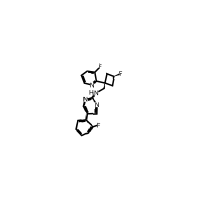 Fc1ccccc1-c1cnc(NC[C@]2(c3ncccc3F)C[C@H](F)C2)nc1